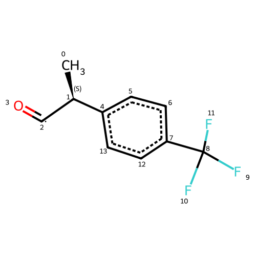 C[C@H]([C]=O)c1ccc(C(F)(F)F)cc1